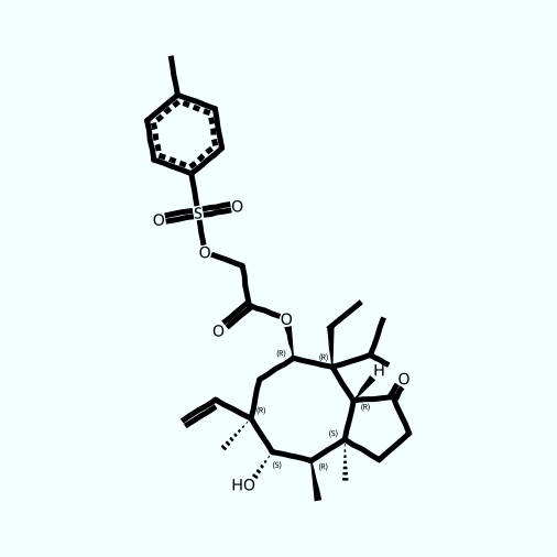 C=C[C@@]1(C)C[C@@H](OC(=O)COS(=O)(=O)c2ccc(C)cc2)[C@](CC)(C(C)C)[C@@H]2C(=O)CC[C@@]2(C)[C@@H](C)[C@@H]1O